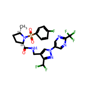 C[C@H]1CC[C@@H](C(=O)NCc2cn(-c3cnc(C(F)(F)F)nc3)nc2C(F)F)N1S(=O)(=O)c1ccc(F)cc1